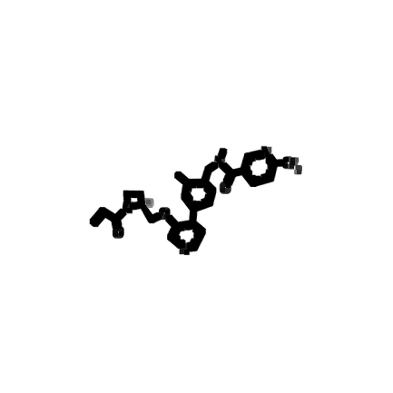 C=CC(=O)N1CC[C@H]1COc1cnccc1-c1ccc(CN(C)C(=O)c2ccc(C(F)(F)F)nc2)c(C)c1